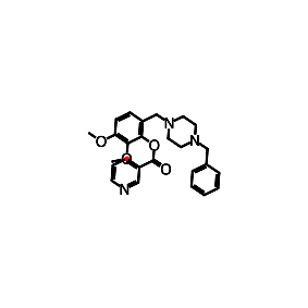 COc1ccc(CN2CCN(Cc3ccccc3)CC2)c(OC(=O)c2cccnc2)c1OC